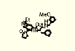 CCn1ncc2c(N3CCCC3=O)cc(C(=O)N[C@@H](Cc3ccccc3)[C@@H](O)CNCc3cccc(OC)c3)cc21